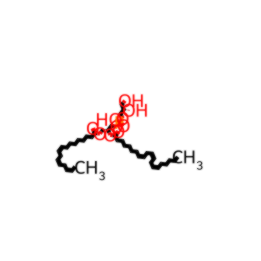 CC/C=C\C/C=C\C/C=C\CCCCCCCC(=O)OC[C@H](COP(=O)(O)OC[C@@H](O)CO)OC(=O)CCCCCC/C=C\C/C=C\C/C=C\CCCCC